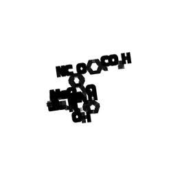 COc1cc(C#N)c(OC2CCC(C)(C(=O)O)CC2)cc1C(=O)N[C@@H]1[C@H]2CC[C@H](C2)[C@@H]1C(=O)NCC(C)(C)C